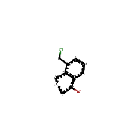 ClCc1cccc2c(Br)cccc12